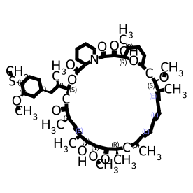 CO[C@H]1CC2CC[C@@H](C)[C@@](O)(O2)C(=O)C(=O)N2CCCCC2C(=O)O[C@H]([C@H](C)C[C@@H]2CC[C@@H](SC)[C@H](OC)C2)CC(=O)[C@H](C)/C=C(\C)[C@@H](O)[C@@H](OC)C(=O)[C@H](C)C[C@H](C)/C=C/C=C/C=C/1C